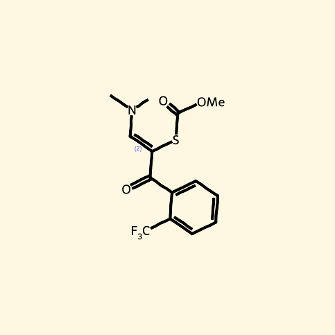 COC(=O)S/C(=C\N(C)C)C(=O)c1ccccc1C(F)(F)F